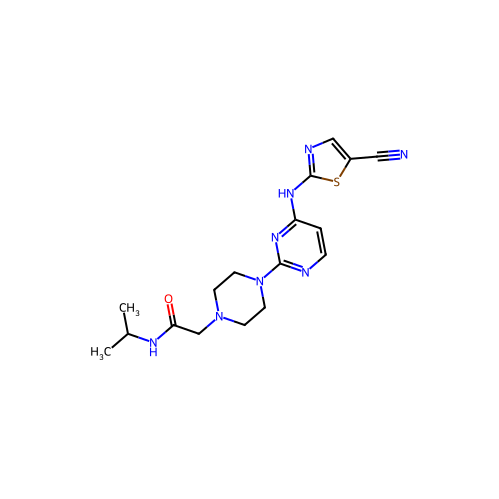 CC(C)NC(=O)CN1CCN(c2nccc(Nc3ncc(C#N)s3)n2)CC1